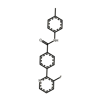 Cc1ccc(NC(=O)c2ccc(-c3ncccc3F)cc2)cc1